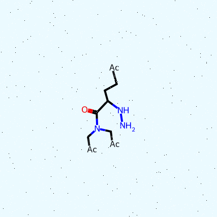 CC(=O)CCC(NN)C(=O)N(CC(C)=O)CC(C)=O